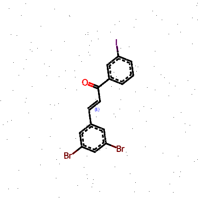 O=C(/C=C/c1cc(Br)cc(Br)c1)c1cccc(I)c1